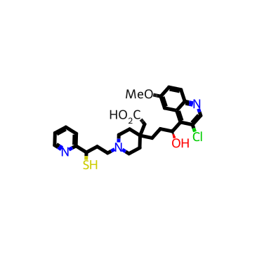 COc1ccc2ncc(Cl)c([C@@H](O)CCC3(CC(=O)O)CCN(CCC(S)c4ccccn4)CC3)c2c1